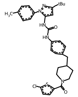 Cc1ccc(-n2nc(C(C)(C)C)cc2NC(=O)Nc2ccc(CC3CCN(C(=O)c4ccc(Cl)s4)CC3)cc2)cc1